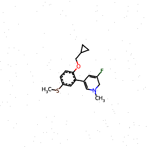 CSc1ccc(OCC2CC2)c(C2=CN(C)CC(F)=C2)c1